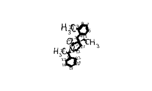 CC[C@@]1(Cc2ccccc2C)CCN([C@H](C)c2ccccc2)C1=O